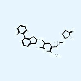 COc1nc(O[C@H]2CCc3c(-c4ccccc4F)cccc32)c(Cl)cc1CNC[C@@H]1CCC(=O)N1